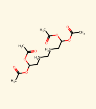 CC(=O)OC(C[SiH2]C[SiH2]CC(OC(C)=O)OC(C)=O)OC(C)=O